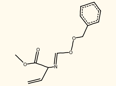 C=CC(N=COOCc1ccccc1)C(=O)OC